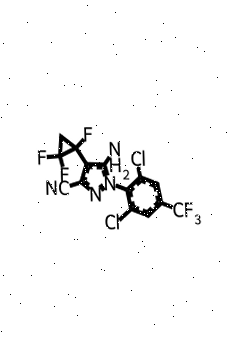 N#Cc1nn(-c2c(Cl)cc(C(F)(F)F)cc2Cl)c(N)c1C1(F)CC1(F)F